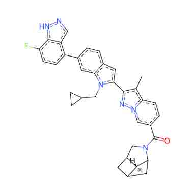 Cc1c(-c2cc3ccc(-c4ccc(F)c5[nH]ncc45)cc3n2CC2CC2)nn2cc(C(=O)N3CC4CC5CC3[C@H]54)ccc12